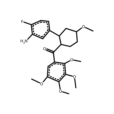 COc1cc(C(=O)C2CCC(OC)CC2c2ccc(F)c(N)c2)c(OC)c(OC)c1OC